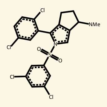 CNC1CCc2c1cn(S(=O)(=O)c1cc(Cl)cc(Cl)c1)c2-c1cc(Cl)ccc1Cl